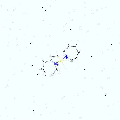 C=CS(C)(N1CCCCCC1)N1CCCCCC1